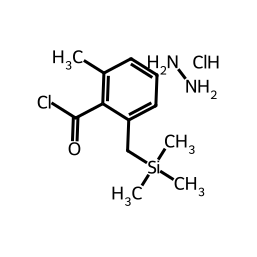 Cc1cccc(C[Si](C)(C)C)c1C(=O)Cl.Cl.NN